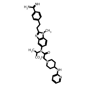 CC(C(=O)O)N(C(=O)CN1CCC(Nc2ccccn2)CC1)c1ccc2c(c1)nc(CCc1ccc(C(=N)N)cc1)n2C